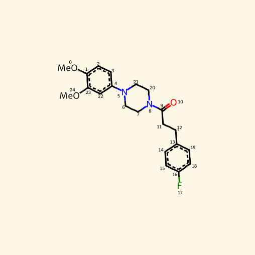 COc1ccc(N2CCN(C(=O)C[CH]c3ccc(F)cc3)CC2)cc1OC